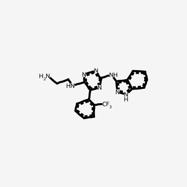 NCCNc1nnc(Nc2n[nH]c3ccccc23)nc1-c1ccccc1C(F)(F)F